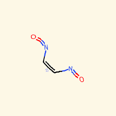 O=N/C=C\N=O